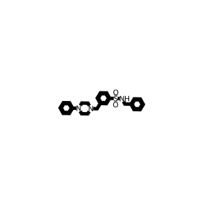 O=S(=O)(NCc1ccccc1)c1cccc(CN2CCN(c3ccccc3)CC2)c1